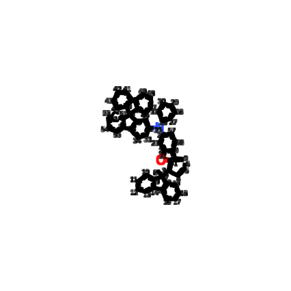 C=c1/c(=C(\C=C/C)C2(C)c3ccccc3-c3ccccc32)oc2cc(N(c3ccccc3)c3ccc4c(c3)C(c3ccccc3)(c3ccccc3)c3ccccc3-4)ccc12